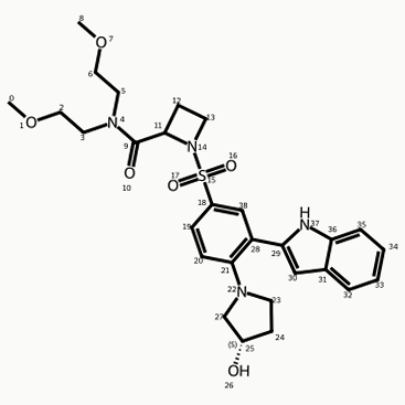 COCCN(CCOC)C(=O)C1CCN1S(=O)(=O)c1ccc(N2CC[C@H](O)C2)c(-c2cc3ccccc3[nH]2)c1